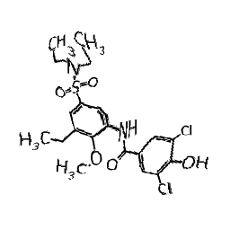 CCc1cc(S(=O)(=O)N(CC)CC)cc(NC(=O)c2cc(Cl)c(O)c(Cl)c2)c1OC